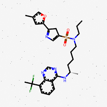 CCCN(CCCC[C@H](C)Nc1ncnc2c(C(C)(F)F)cccc12)S(=O)(=O)C1=CN=C(c2cc(C)co2)C1